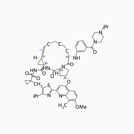 COc1ccc2c(O[C@@H]3C[C@H]4C(=O)N[C@]5(C(=O)NS(=O)(=O)C6(C)CC6)C[C@H]5/C=C\CCCCC[C@H](Nc5cccc(C(=O)N6CCN(C(C)C)CC6)c5)C(=O)N4C3)cc(-c3nc(C(C)C)cs3)nc2c1C